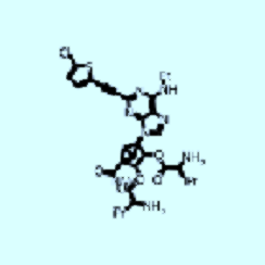 CCNc1nc(C#Cc2ccc(Cl)s2)nc2c1ncn2C12C(OC(=O)C(N)C(C)C)C(OC(=O)C(N)C(C)C)C3(C(=O)NC)C1C32